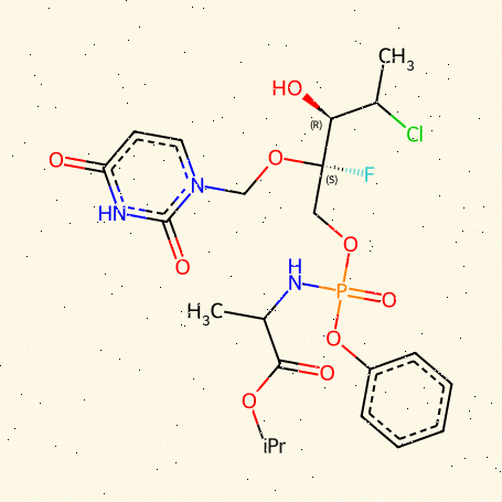 CC(C)OC(=O)C(C)NP(=O)(OC[C@@](F)(OCn1ccc(=O)[nH]c1=O)[C@@H](O)C(C)Cl)Oc1ccccc1